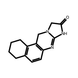 O=C1CN2Cc3c(ccc4c3CCCC4)N=C2N1